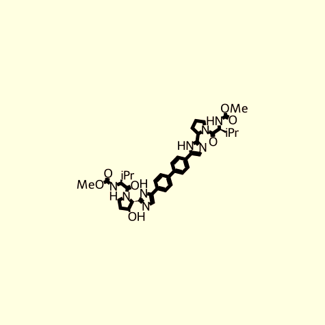 COC(=O)N[C@H](C(=O)N1CCCC1c1ncc(-c2ccc(-c3ccc(-c4cnc([C@@H]5[C@@H](O)CCN5C(=O)[C@@H](NC(=O)OC)C(C)C)[nH]4)cc3)cc2)[nH]1)C(C)C